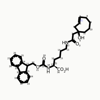 O=C(CC1(O)C/C=C/CCCC1)NCCCC[C@H](NC(=O)OCC1c2ccccc2-c2ccccc21)C(=O)O